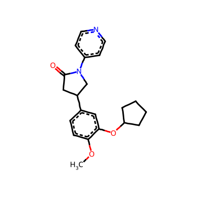 COc1ccc(C2CC(=O)N(c3ccncc3)C2)cc1OC1CCCC1